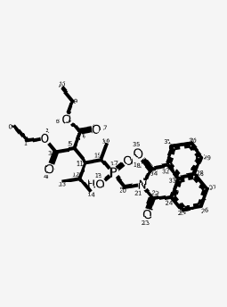 CCOC(=O)C(C(=O)OCC)C(C(C)C)C(C)P(=O)(O)CN1C(=O)c2cccc3cccc(c23)C1=O